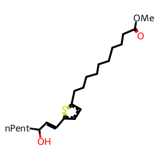 CCCCCC(O)C=Cc1ccc(CCCCCCCCCC(=O)OC)s1